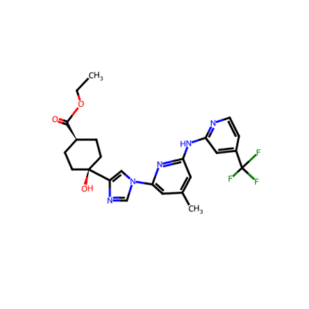 CCOC(=O)[C@H]1CC[C@](O)(c2cn(-c3cc(C)cc(Nc4cc(C(F)(F)F)ccn4)n3)cn2)CC1